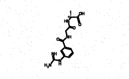 C[C@@H](NC(=O)CNC(=O)c1cccc(NC(=N)N)c1)C(=O)O